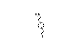 NCCN1CCN(CCBr)CC1